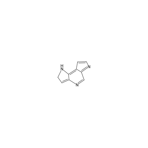 C1=Cc2c3c(ncc2=N1)=CCN3